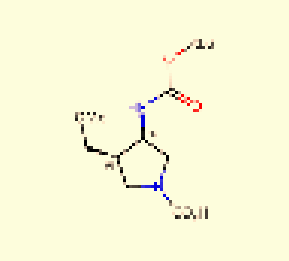 COC[C@@H]1CN(C(=O)O)C[C@@H]1NC(=O)OC(C)(C)C